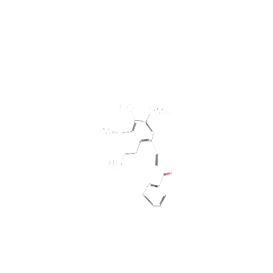 COc1cc(C=CC(=O)c2ccccc2)c(CCO)c(OC)c1O